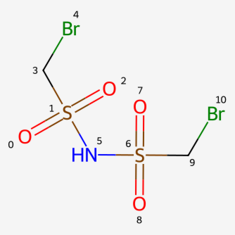 O=S(=O)(CBr)NS(=O)(=O)CBr